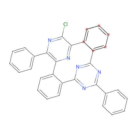 Clc1nc(-c2ccccc2)c(-c2ccccc2-c2nc(-c3ccccc3)nc(-c3ccccc3)n2)nc1-c1ccccc1